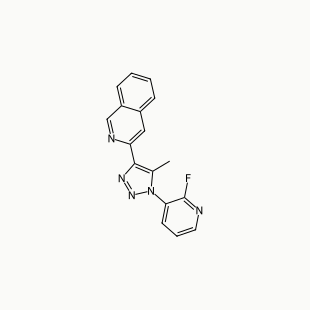 Cc1c(-c2cc3ccccc3cn2)nnn1-c1cccnc1F